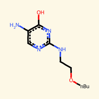 CCCCOCCNc1ncc(N)c(O)n1